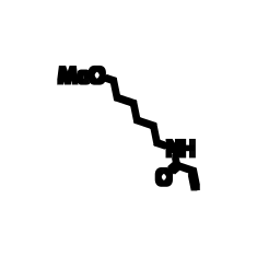 C=CC(=O)NCCCCCCOC